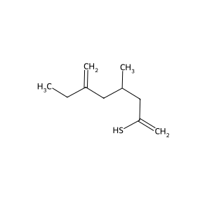 C=C(S)CC(C)CC(=C)CC